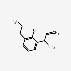 C=C[C](C)c1cccc(CCC)c1Cl